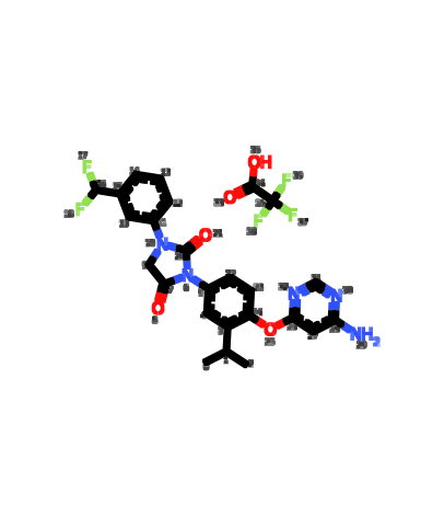 CC(C)c1cc(N2C(=O)CN(c3cccc(C(F)F)c3)C2=O)ccc1Oc1cc(N)ncn1.O=C(O)C(F)(F)F